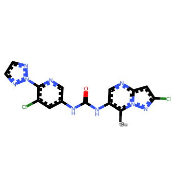 CC(C)(C)c1c(NC(=O)Nc2cnc(-n3nccn3)c(Cl)c2)cnc2cc(Cl)nn12